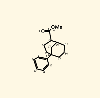 COC(=O)C1CCC2(c3ccccc3)CCCC1C2